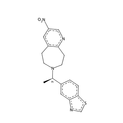 C[C@H](c1ccc2scnc2c1)N1CCc2cc([N+](=O)[O-])cnc2CC1